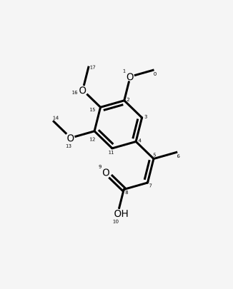 COc1cc(/C(C)=C\C(=O)O)cc(OC)c1OC